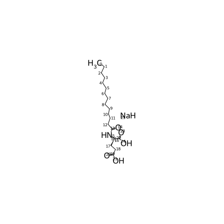 CCCCCCCCCCCCCC(=O)N[C@H](CCC(=O)O)C(=O)O.[NaH]